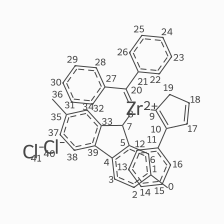 Cc1ccc2c(c1)[CH]([Zr+2]([C]1=C(c3ccccc3)C=CC1)=[C](c1ccccc1)c1ccccc1)c1cc(C)ccc1-2.[Cl-].[Cl-]